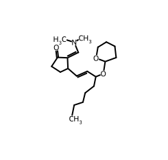 CCCCCC(/C=C/C1CCC(=O)C1=CN(C)C)OC1CCCCO1